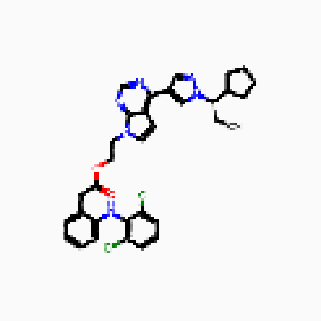 N#CC[C@H](C1CCCC1)n1cc(-c2ncnc3c2ccn3CCOC(=O)Cc2ccccc2Nc2c(Cl)cccc2Cl)cn1